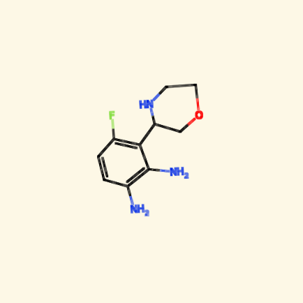 Nc1ccc(F)c(C2COCCN2)c1N